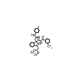 CCOC(CN1C(=O)C(CC(=O)Nc2ccc(C)cc2)(NC(=O)Nc2cccc(C(F)(F)F)c2)c2ccccc21)OCC